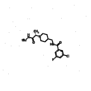 C[C@@H](C(=O)NC(C)(C)C)N1CCC(CNC(=O)c2cc(F)cc(Cl)c2)CC1